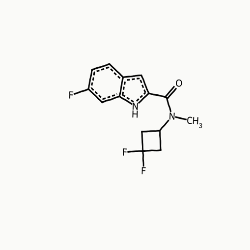 CN(C(=O)c1cc2ccc(F)cc2[nH]1)C1CC(F)(F)C1